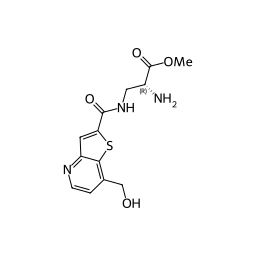 COC(=O)[C@H](N)CNC(=O)c1cc2nccc(CO)c2s1